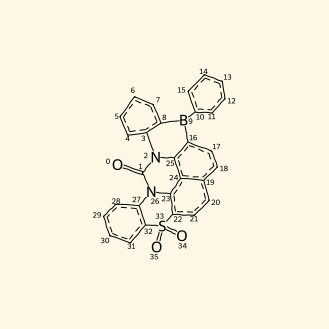 O=C1N2c3ccccc3B(c3ccccc3)c3ccc4ccc5c(c4c32)N1c1ccccc1S5(=O)=O